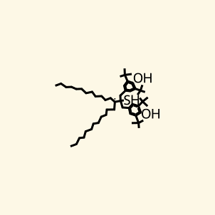 CCCCCCCCCCCC[C](CCCCCCCCCCCC)C(S)(Cc1cc(C(C)(C)C)c(O)c(C(C)(C)C)c1)Cc1cc(C(C)(C)C)c(O)c(C(C)(C)C)c1